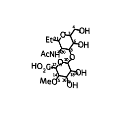 CCC1OC(CO)C(O)C(OC2OC(C(=O)O)C(OC)C(O)C2O)C1NC(C)=O